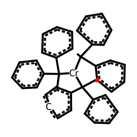 C[C](c1ccccc1)(c1ccccc1)[Cr]([C](C)(c1ccccc1)c1ccccc1)[C](C)(c1ccccc1)c1ccccc1